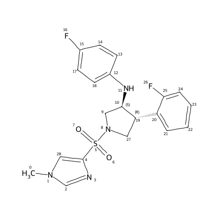 Cn1cnc(S(=O)(=O)N2C[C@@H](Nc3ccc(F)cc3)[C@H](c3ccccc3F)C2)c1